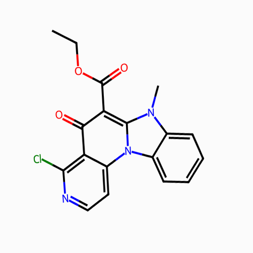 CCOC(=O)c1c(=O)c2c(Cl)nccc2n2c3ccccc3n(C)c12